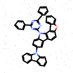 c1ccc(-c2nc(-c3ccccc3)nc(-n3c4ccc(-n5c6ccccc6c6ccccc65)cc4c4ccc5oc6ccccc6c5c43)n2)cc1